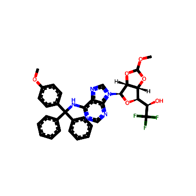 COc1ccc(C(Nc2ncnc3c2ncn3[C@@H]2O[C@H]([C@@H](O)C(F)(F)F)[C@H]3OC(OC)O[C@H]32)(c2ccccc2)c2ccccc2)cc1